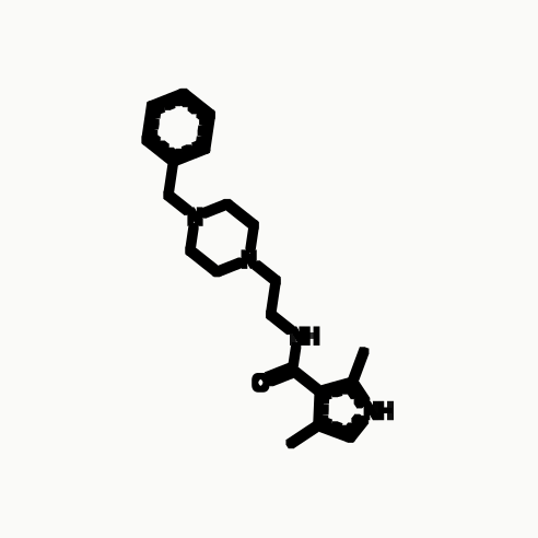 Cc1c[nH]c(C)c1C(=O)NCCN1CCN(Cc2ccccc2)CC1